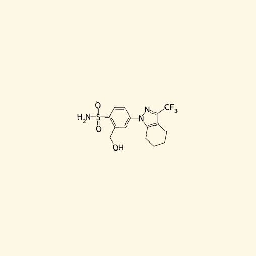 NS(=O)(=O)c1ccc(-n2nc(C(F)(F)F)c3c2CCCC3)cc1CO